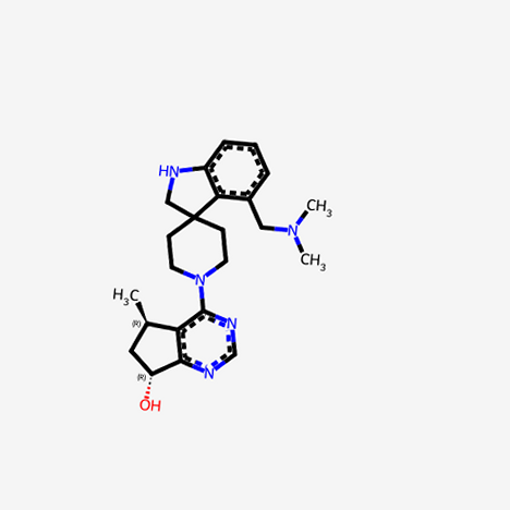 C[C@@H]1C[C@@H](O)c2ncnc(N3CCC4(CC3)CNc3cccc(CN(C)C)c34)c21